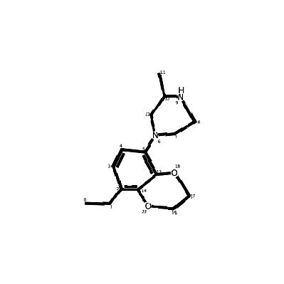 CCc1ccc(N2CCNC(C)C2)c2c1OCCO2